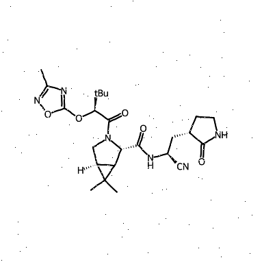 Cc1noc(O[C@H](C(=O)N2C[C@H]3C([C@H]2C(=O)N[C@H](C#N)C[C@@H]2CCNC2=O)C3(C)C)C(C)(C)C)n1